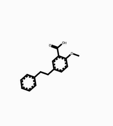 COc1ccc(CCc2cc[c]cc2)cc1C(=O)O